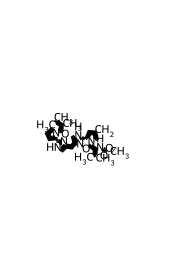 C=C1C[C@@H](c2nc(Cc3c[nH]c([C@@H]4CCCN4C(=O)[C@@H](C)C(C)C)n3)c[nH]2)N(C(=O)[C@@H](NC(=O)OC)C(C)C)C1